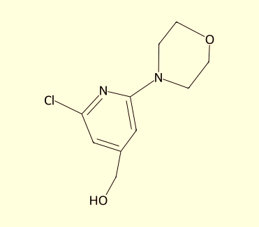 OCc1cc(Cl)nc(N2CCOCC2)c1